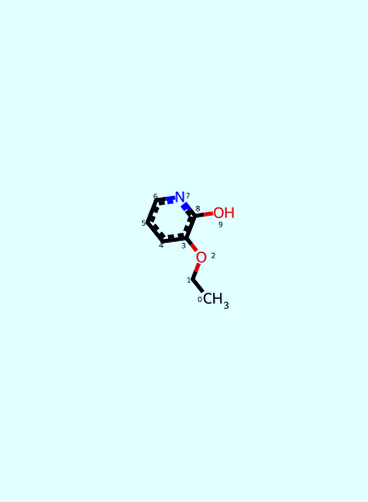 CCOc1cccnc1O